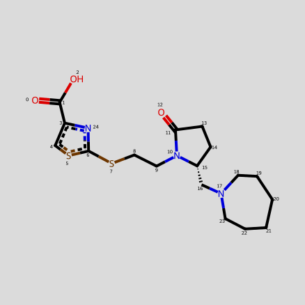 O=C(O)c1csc(SCCN2C(=O)CC[C@@H]2CN2CCCCCC2)n1